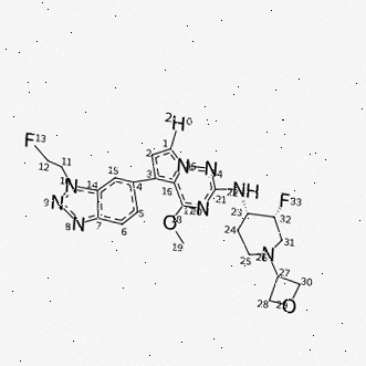 [2H]c1cc(-c2ccc3nnn(CCF)c3c2)c2c(OC)nc(N[C@H]3CCN(C4COC4)C[C@H]3F)nn12